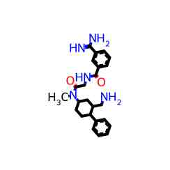 CN(C(=O)CNC(=O)c1cccc(C(=N)N)c1)C1CCC(c2ccccc2)C(CN)C1